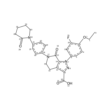 CCOc1ccc(-n2nc(C(=O)O)c3c2C(=O)N(c2ccc(N4CCCCC4=O)cc2)CC3)cc1F